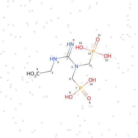 N=C(NCC(=O)O)N(CP(=O)(O)O)CP(=O)(O)O